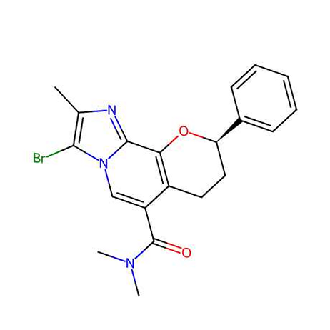 Cc1nc2c3c(c(C(=O)N(C)C)cn2c1Br)CC[C@H](c1ccccc1)O3